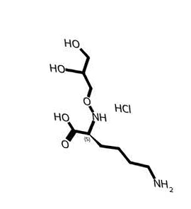 Cl.NCCCC[C@H](NOCC(O)CO)C(=O)O